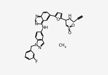 C.C#CCNC(C=S(=O)=O)c1ccc(-c2ccc3ncnc(Nc4ccc5c(cnn5Cc5cccc(F)c5)c4)c3c2)o1